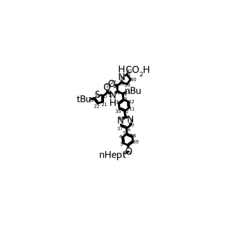 CCCCCCCOc1ccc(-c2cnc(-c3ccc(C(CCCC)C(NC(=O)c4ccc(C(C)(C)C)s4)C(=O)C4CCC(C(=O)O)N4)cc3)nc2)cc1